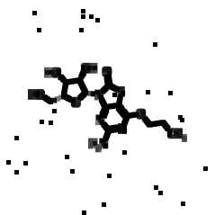 CCCOc1nc(N)nc2c1sc(=O)n2[C@@H]1O[C@H](CO)[C@@H](O)[C@H]1O